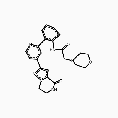 O=C(CN1CCOCC1)Nc1ccccc1-c1nccc(-c2cc3n(n2)CCNC3=O)n1